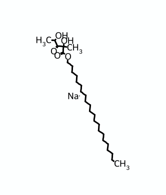 CCCCCCCCCCCCCCCCCCCCCCOC(=O)C(C)(O)C(=O)C(C)O.[Na]